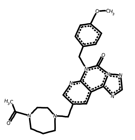 COc1ccc(Cn2c(=O)n3ncnc3c3cc(CN4CCCN(C(C)=O)CC4)cnc32)cc1